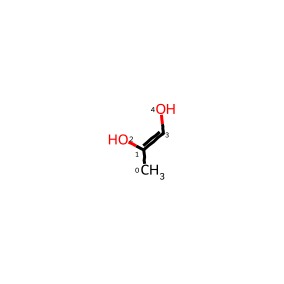 CC(O)=CO